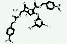 C[C@@H](OC(=O)OCc1ccc([N+](=O)[O-])cc1)C1C(=O)N2C(C(=O)OCc3ccc([N+](=O)[O-])cc3)=C(Sc3nc(N)cc(N)n3)C[C@@H]12